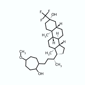 COC1CCC(O)C(CC[C@@H](C)[C@H]2CC[C@H]3[C@@H]4CC[C@H]5C[C@](O)(C(F)(F)F)CC[C@]5(C)[C@H]4CC[C@]23C)CC1